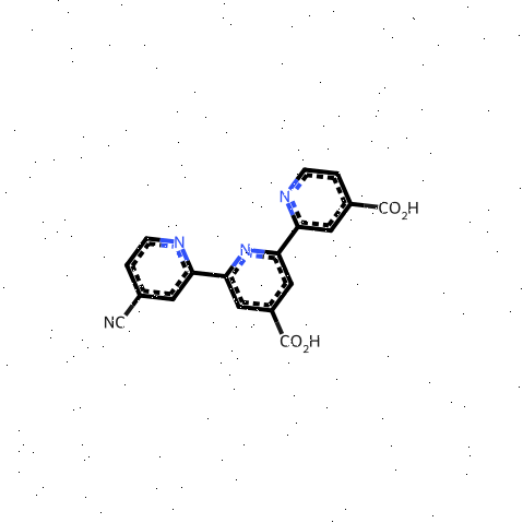 N#Cc1ccnc(-c2cc(C(=O)O)cc(-c3cc(C(=O)O)ccn3)n2)c1